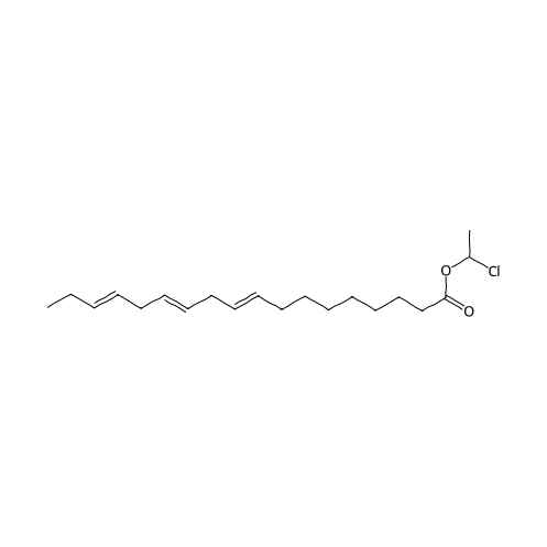 CCC=CCC=CCC=CCCCCCCCC(=O)OC(C)Cl